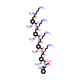 COc1ccc(CC(=O)[C@H](CCCCN)NC(=O)c2cc(CC(=O)[C@H](CCCCN)NC(=O)c3cc(CC(=O)[C@H](CCCCN)NC(=O)c4cc(CC(=O)[C@@H](N)CCCCN)ccc4OC)ccc3OC)ccc2OC)cc1C(=O)N[C@@H](Cc1c[nH]c2ccccc12)C(=O)O